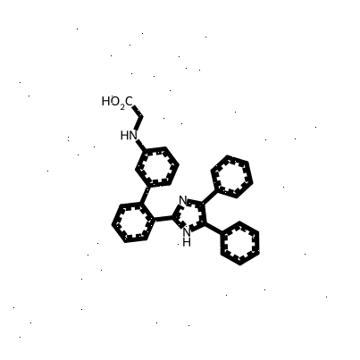 O=C(O)CNc1cccc(-c2ccccc2-c2nc(-c3ccccc3)c(-c3ccccc3)[nH]2)c1